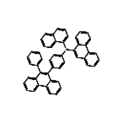 c1ccc(-c2c(-c3ccc(N(c4cccc5ccccc45)c4cc5ccccc5c5ccccc45)cc3)c3ccccc3c3ccccc23)cc1